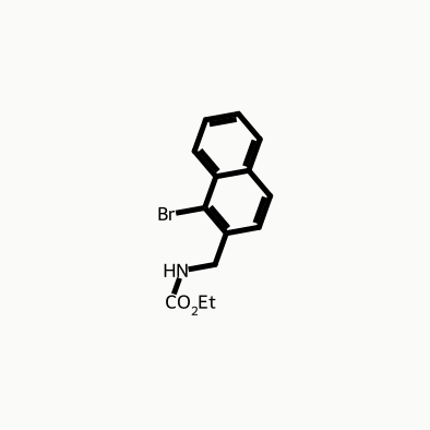 CCOC(=O)NCc1ccc2ccccc2c1Br